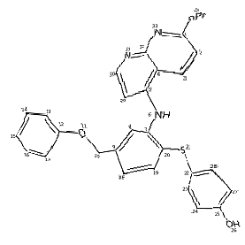 CCCc1ccc2c(Nc3cc(COc4ccccc4)ccc3Sc3ccc(O)cc3)ccnc2n1